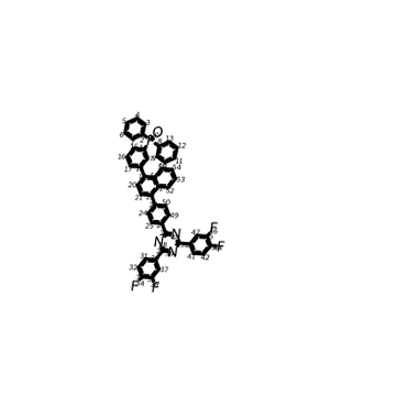 O=P(c1ccccc1)(c1ccccc1)c1cccc(-c2ccc(-c3ccc(-c4nc(-c5ccc(F)c(F)c5)nc(-c5ccc(F)c(F)c5)n4)cc3)c3ccccc23)c1